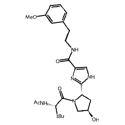 COc1cccc(CCNC(=O)c2c[nH]c([C@@H]3C[C@@H](O)CN3C(=O)[C@@H](NC(C)=O)C(C)(C)C)n2)c1